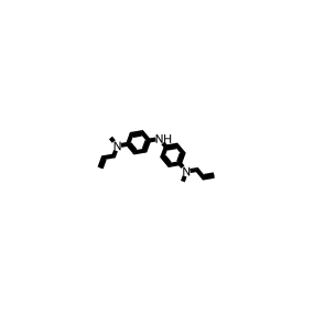 C=CCN(C)c1ccc(Nc2ccc(N(C)CC=C)cc2)cc1